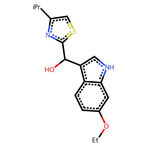 CCOc1ccc2c(C(O)c3nc(C(C)C)cs3)c[nH]c2c1